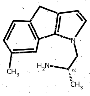 Cc1ccc2c(c1)-c1c(ccn1C[C@H](C)N)C2